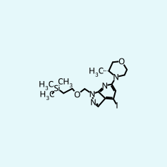 C[C@@H]1COCCN1c1cc(I)c2cnn(COCC[Si](C)(C)C)c2n1